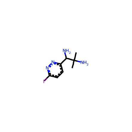 CC(C)(N)C(N)c1ccc(I)nn1